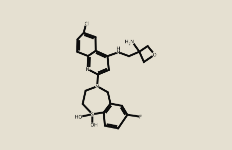 NC1(CNc2cc(N3CCS(O)(O)c4ccc(F)cc4C3)nc3ccc(Cl)cc23)COC1